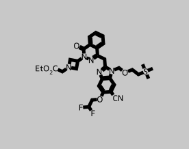 CCOC(=O)CN1CC(n2nc(Cc3nc4cc(OCC(F)F)c(C#N)cc4n3COCCS(C)(C)C)c3ccccc3c2=O)C1